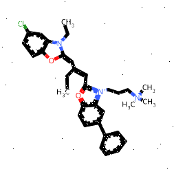 CCC(/C=C1\Oc2ccc(Cl)cc2N1CC)=C\c1oc2ccc(-c3ccccc3)cc2[n+]1CCC[N+](C)(C)C